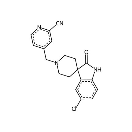 N#Cc1cc(CN2CCC3(CC2)C(=O)Nc2ccc(Cl)cc23)ccn1